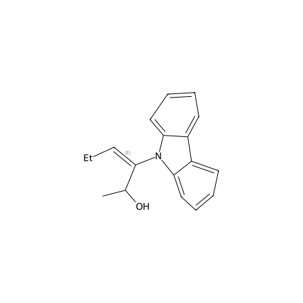 CC/C=C(\C(C)O)n1c2ccccc2c2ccccc21